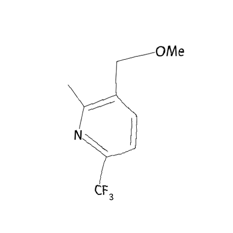 COCc1ccc(C(F)(F)F)nc1C